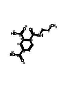 CCCNC(=O)c1ccc(C(=O)O)cc1C(=O)O